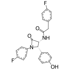 O=C(Cc1ccc(F)cc1)N[C@H]1C(=O)N(c2ccc(F)cc2)[C@H]1c1ccc(O)cc1